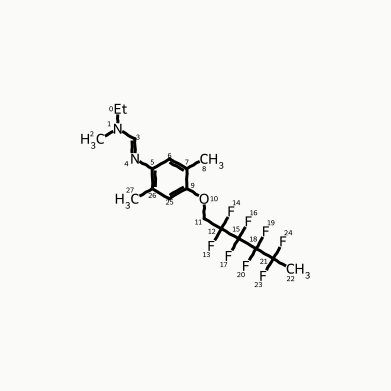 CCN(C)/C=N/c1cc(C)c(OCC(F)(F)C(F)(F)C(F)(F)C(C)(F)F)cc1C